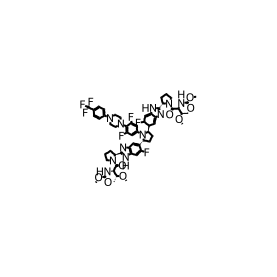 COC(=O)N[C@H](C(=O)N1CCC[C@H]1c1nc2c([nH]1)=CC(F)C([C@H]1CC[C@H](c3cc4nc([C@@H]5CCCN5C(=O)[C@@H](NC(=O)OC)[C@@H](C)OC)[nH]c4cc3F)N1c1cc(F)c(N3CCN(c4ccc(C(F)(F)F)cc4)CC3)c(F)c1)C=2)[C@@H](C)OC